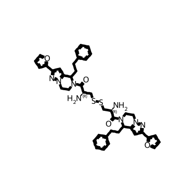 N[C@@H](CSSC[C@H](N)C(=O)N1CCn2nc(-c3ccco3)cc2C1CCc1ccccc1)C(=O)N1CCn2nc(-c3ccco3)cc2C1CCc1ccccc1